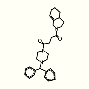 O=C(CCC(=O)N1CCC2CCCC=C2C1)N1CCN(C(c2ccccc2)c2ccccc2)CC1